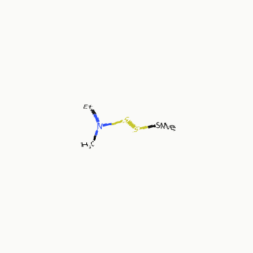 CCN(C)SSSC